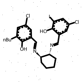 CCCCc1cc(Cl)cc(/C=N/[C@@H]2CCCC[C@H]2/N=C/c2cc(Cl)cc(I)c2O)c1O